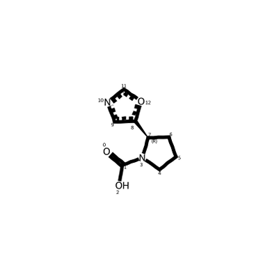 O=C(O)N1CCC[C@@H]1c1cnco1